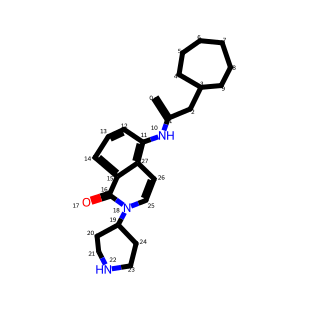 C=C(CC1CCCCCC1)Nc1cccc2c(=O)n(C3CCNCC3)ccc12